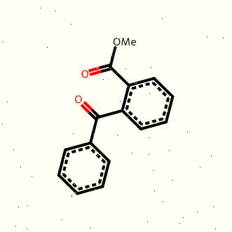 COC(=O)c1ccccc1C(=O)c1ccccc1